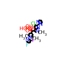 C[C@@H]1CC(C(=O)c2cn(C)c3nc(-c4ncccn4)c(Cl)cc23)C[C@@H](C)N1c1ncc(F)cc1I.O=P(O)(O)O